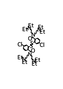 CCN(CC)CCN(CCN(CC)CC)C(=O)c1ccc(Cl)cc1SSc1cc(Cl)ccc1C(=O)N(CCN(CC)CC)CCN(CC)CC